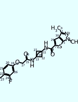 Cc1nn(C)c2sc(C(=O)NC34CC(NC(=O)COc5ccc(Cl)c(F)c5)(C3)C4)cc12